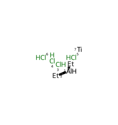 C[CH2][AlH][CH2]C.Cl.Cl.Cl.Cl.[Ti]